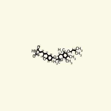 CC(C)=CCOc1c(C)c(C)c2c(c1C)CCC(C)(COc1ccc3c(c1)C=C(/C=C1\SC(=O)NC1=O)CO3)O2